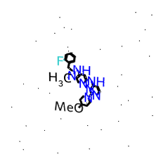 COC1CCN(c2nccc(Nc3cc4c(cn3)N(C)C(Cc3ccccc3F)N4)n2)CC1